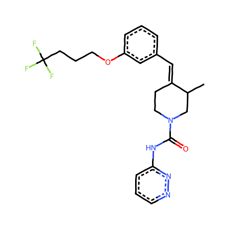 CC1CN(C(=O)Nc2cccnn2)CC/C1=C\c1cccc(OCCCC(F)(F)F)c1